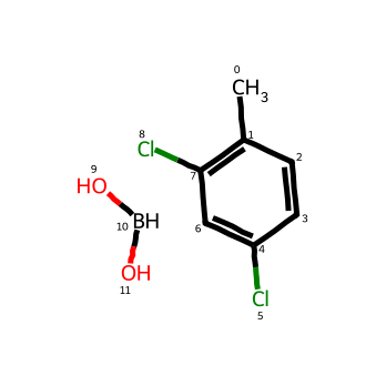 Cc1ccc(Cl)cc1Cl.OBO